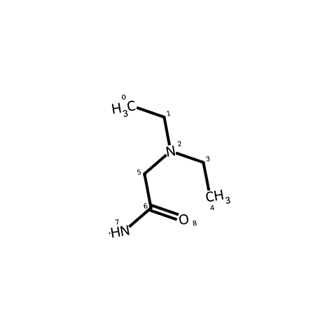 CCN(CC)CC([NH])=O